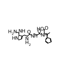 CC(c1ccccc1)C(NC(=O)CCNC(=O)C(N)CC1=CCNC1C(=N)N)C(=O)O